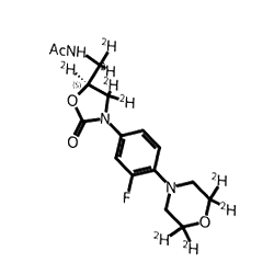 [2H]C1([2H])CN(c2ccc(N3C(=O)O[C@@]([2H])(C([2H])([2H])NC(C)=O)C3([2H])[2H])cc2F)CC([2H])([2H])O1